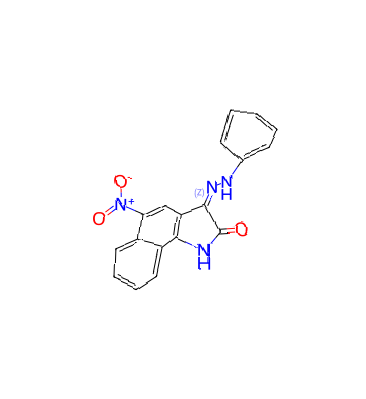 O=C1Nc2c(cc([N+](=O)[O-])c3ccccc23)/C1=N/Nc1ccccc1